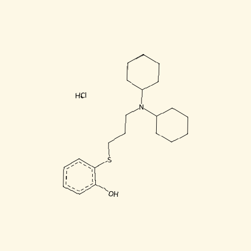 Cl.Oc1ccccc1SCCCN(C1CCCCC1)C1CCCCC1